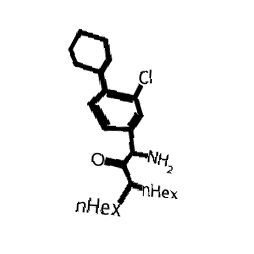 CCCCCCC(CCCCCC)C(=O)C(N)c1ccc(C2CCCCC2)c(Cl)c1